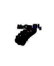 COc1ccc(C2C3C4=CC5CC6Cc7cc8c9c%10c%11c%12c%13c%14c%15c(c%16c4c4c(c%17c(c7c9c%12%17)C6C=45)c%16%13)C3(C=C%15CC(C=C%10C8)C%14%11)CN2C)cc1